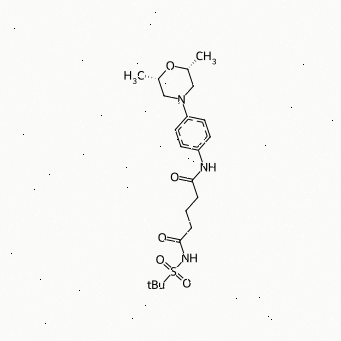 C[C@@H]1CN(c2ccc(NC(=O)CCCC(=O)NS(=O)(=O)C(C)(C)C)cc2)C[C@H](C)O1